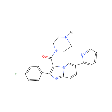 CC(=O)N1CCN(C(=O)c2c(-c3ccc(Cl)cc3)nc3ccc(-c4ccccn4)cn23)CC1